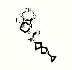 CON1C(=O)N2C[C@H]1CC[C@H]2C(=O)NC1CC2(C1)CN(C1CC1)C2